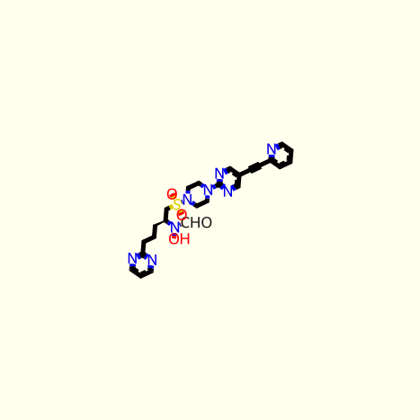 O=CN(O)[C@@H](CCCc1ncccn1)CS(=O)(=O)N1CCN(c2ncc(C#Cc3ccccn3)cn2)CC1